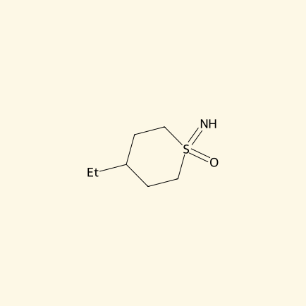 CCC1CCS(=N)(=O)CC1